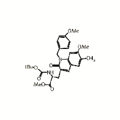 COC(=O)[C@H](Cc1cc2cc(C)c(OC)cc2n(Cc2ccc(OC)cc2)c1=O)NC(=O)OC(C)(C)C